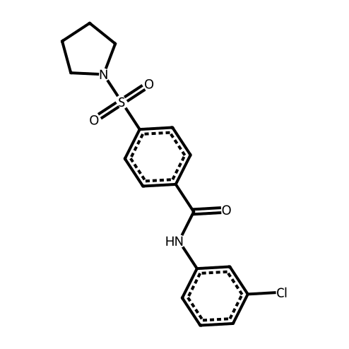 O=C(Nc1cccc(Cl)c1)c1ccc(S(=O)(=O)N2CCCC2)cc1